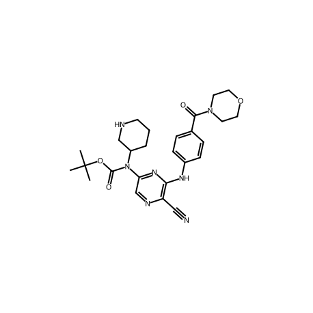 CC(C)(C)OC(=O)N(c1cnc(C#N)c(Nc2ccc(C(=O)N3CCOCC3)cc2)n1)C1CCCNC1